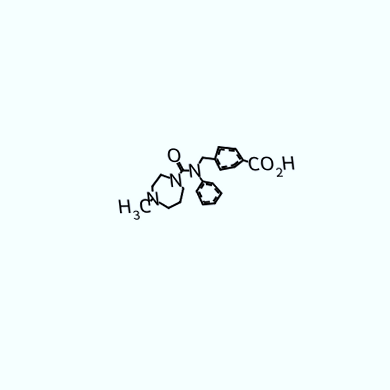 CN1CCCN(C(=O)N(Cc2ccc(C(=O)O)cc2)c2ccccc2)CC1